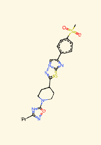 CC(C)c1noc(N2CCC(c3nn4cc(-c5ccc(S(C)(=O)=O)cc5)nc4s3)CC2)n1